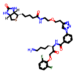 NCCCC[C@H](NC(=O)c1cccc(-n2cc(CCOCCNC(=O)CCCC[C@@H]3SC[C@@H]4NC(=O)N[C@@H]43)nn2)c1)C(=O)COc1c(F)cccc1F